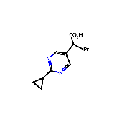 CC(C)C(C(=O)O)c1cnc(C2CC2)nc1